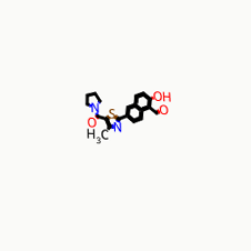 Cc1nc(-c2ccc3c(C=O)c(O)ccc3c2)sc1C(=O)N1CCCC1